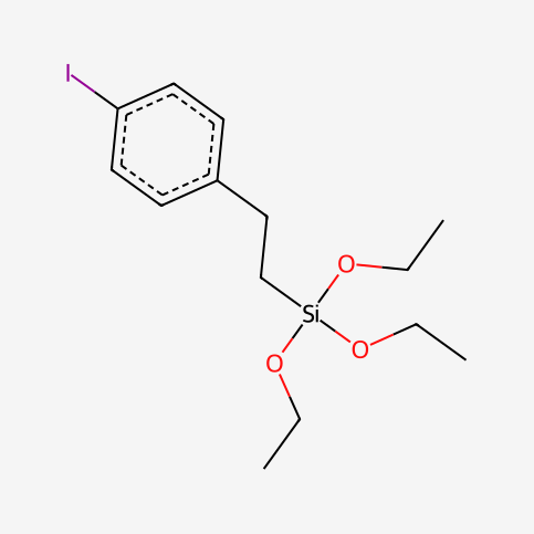 CCO[Si](CCc1ccc(I)cc1)(OCC)OCC